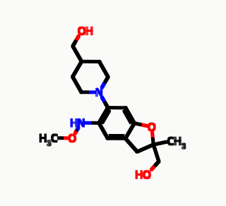 CONc1cc2c(cc1N1CCC(CO)CC1)OC(C)(CO)C2